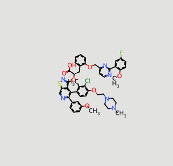 COc1cccc(-c2ncc3snc(O[C@H](Cc4ccccc4OCc4ccnc(-c5cc(F)ccc5OC)n4)C(=O)O)c3c2-c2ccc(OCCN3CCN(C)CC3)c(Cl)c2C)c1